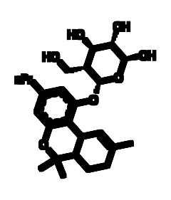 CCCc1cc(O[C@H]2O[C@H](O)[C@@H](O)[C@H](O)[C@H]2CO)c2c(c1)OC(C)(C)C1CCC(C)=CC21